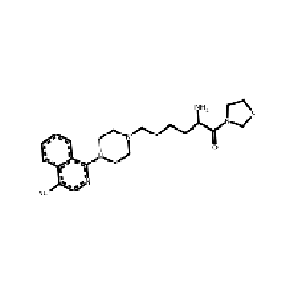 N#Cc1cnc(N2CCN(CCCCC(N)C(=O)N3CCSC3)CC2)c2ccccc12